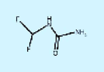 NC(=O)NC(F)F